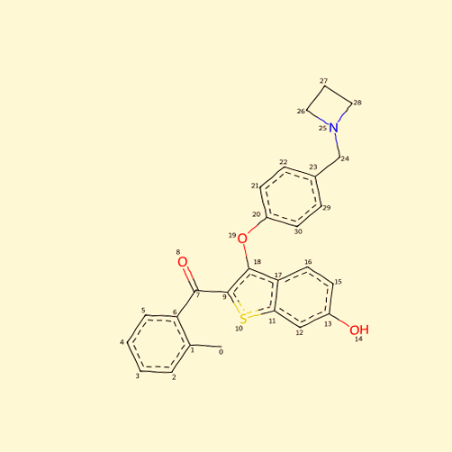 Cc1ccccc1C(=O)c1sc2cc(O)ccc2c1Oc1ccc(CN2CCC2)cc1